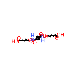 O=C(O)CCCCCOONC(=O)c1ccc(C(=O)NOOCCCCCC(=O)O)cc1